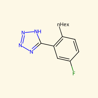 CCCCCCc1ccc(F)cc1-c1nnn[nH]1